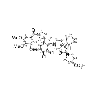 COc1cc(C(=O)N2CC[C@@](CCN3CCC(NC(=O)N4CCC(C(=O)O)CC4)(c4ccccc4)CC3)(c3ccc(Cl)c(Cl)c3)C2)cc(OC)c1OC